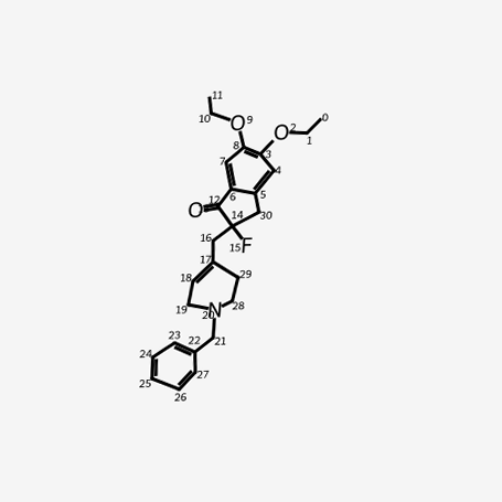 CCOc1cc2c(cc1OCC)C(=O)C(F)(CC1=CCN(Cc3ccccc3)CC1)C2